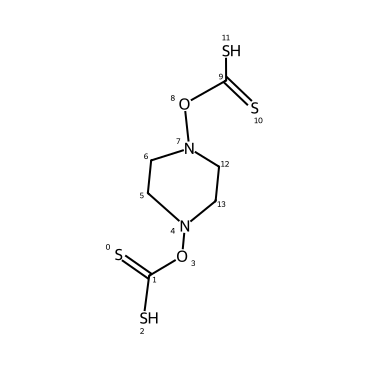 S=C(S)ON1CCN(OC(=S)S)CC1